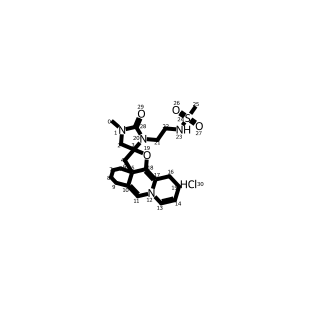 CN1CC2(CC34CCCCC3=CN3C=CCCC3=C4O2)N(CCNS(C)(=O)=O)C1=O.Cl